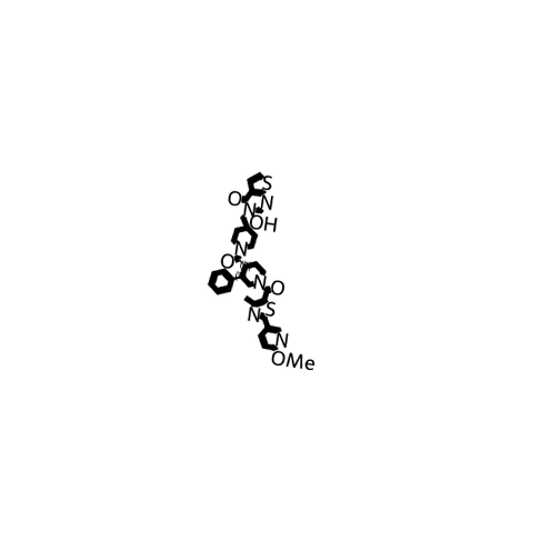 COc1ccc(-c2nc(C)c(C(=O)N3CC[C@@H](C(=O)N4CCC(O)(Cn5cnc6sccc6c5=O)CC4)[C@H](c4ccccc4)C3)s2)cn1